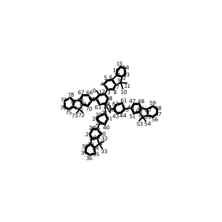 Cc1c(-c2ccc3c(c2)C(C)(C)c2ccccc2-3)cc(N(c2ccc(-c3ccc4c(c3)C(C)(C)c3ccccc3-4)cc2)c2ccc(-c3ccc4c(c3)C(C)(C)c3ccccc3-4)cc2)cc1-c1ccc2c(c1)C(C)(C)c1ccccc1-2